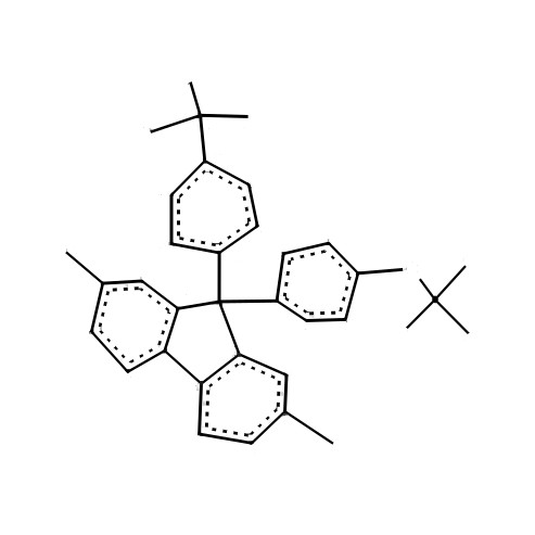 Cc1ccc2c(c1)C(c1ccc(OC(C)(C)C)cc1)(c1ccc(C(C)(C)C)cc1)c1cc(C)ccc1-2